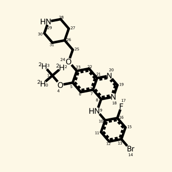 [2H]C([2H])([2H])Oc1cc2c(Nc3ccc(Br)cc3F)ncnc2cc1OCC1CCNCC1